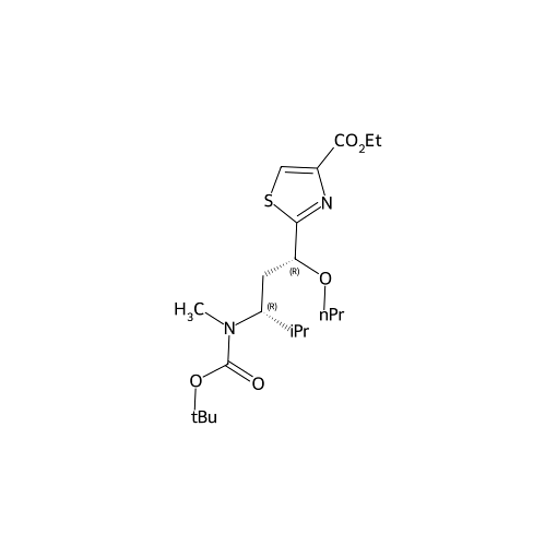 CCCO[C@H](C[C@H](C(C)C)N(C)C(=O)OC(C)(C)C)c1nc(C(=O)OCC)cs1